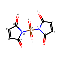 O=C1C=CC(=O)N1S(=O)(=O)N1C(=O)C=CC1=O